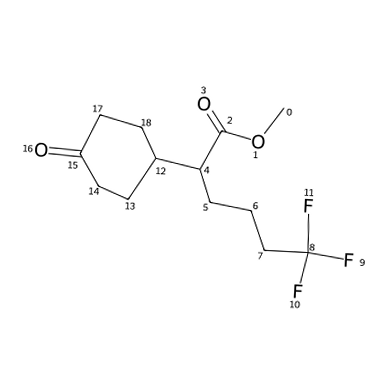 COC(=O)C(CCCC(F)(F)F)C1CCC(=O)CC1